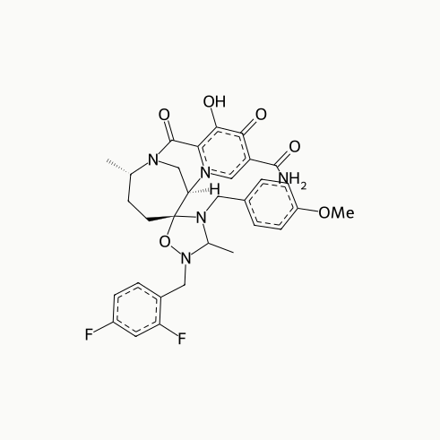 COc1ccc(CN2C(C)N(Cc3ccc(F)cc3F)O[C@@]23CC[C@H](C)N2C[C@H]3n3cc(C(N)=O)c(=O)c(O)c3C2=O)cc1